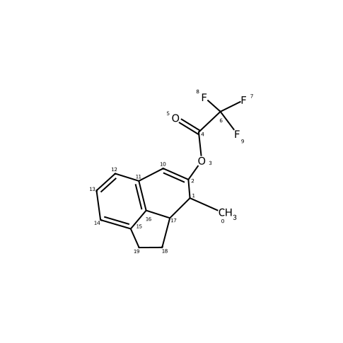 CC1C(OC(=O)C(F)(F)F)=Cc2cccc3c2C1CC3